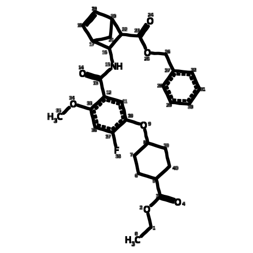 CCOC(=O)C1CCC(Oc2cc(C(=O)NC3C4C=CC(C4)C3C(=O)OCc3ccccc3)c(OC)cc2F)CC1